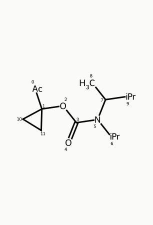 CC(=O)C1(OC(=O)N(C(C)C)C(C)C(C)C)CC1